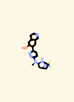 CN(c1ccc(-c2cc3cnccc3cc2O)nn1)[C@@H]1CC2CC(F)(F)C(N2)N1